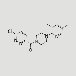 Cc1cnc(N2CCN(C(=O)c3ccc(Cl)nn3)CC2)c(C)c1